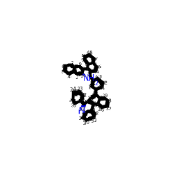 Nc1cc2ccccc2cc1-c1c(CC2=CC(c3cc4c(-c5ccccc5)nc5ccccc5c4c4ccccc34)CC=C2)ccc2ccccc12